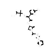 CC(C)(ON=C(C(=O)N[C@H]1CN(C(=O)NS(=O)(=O)n2ccnc2)C1=O)c1csc(N)n1)C(=O)O